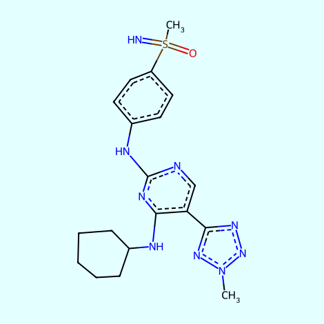 Cn1nnc(-c2cnc(Nc3ccc(S(C)(=N)=O)cc3)nc2NC2CCCCC2)n1